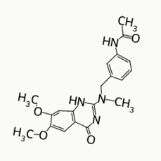 COc1cc2[nH]c(N(C)Cc3cccc(NC(C)=O)c3)nc(=O)c2cc1OC